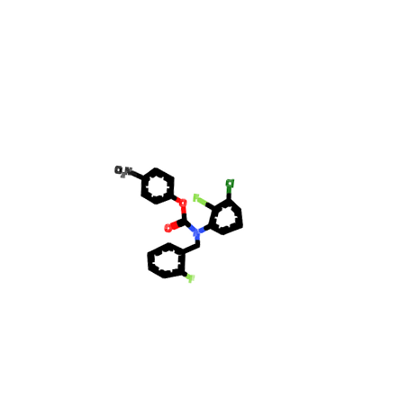 O=C(Oc1ccc([N+](=O)[O-])cc1)N(Cc1ccccc1F)c1cccc(Cl)c1F